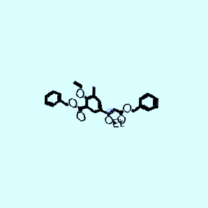 C=COC1C(C)C=C(/C(=C/C(=O)OCc2ccccc2)OCC)CC1C(=O)OCc1ccccc1